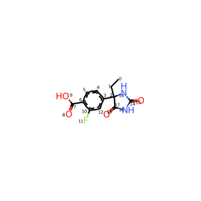 CCC1(c2ccc(C(=O)O)c(F)c2)NC(=O)NC1=O